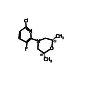 C[C@@H]1CN(c2nc(Cl)ccc2F)C[C@H](C)O1